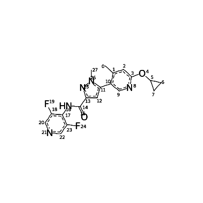 Cc1cc(OC2CC2)ncc1-c1cc(C(=O)Nc2c(F)cncc2F)nn1C